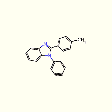 Cc1ccc(-c2nc3ccccc3n2-c2cc#ccc2)cc1